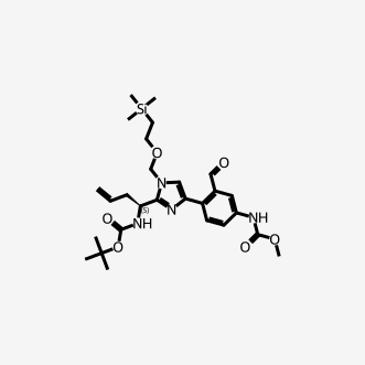 C=CC[C@H](NC(=O)OC(C)(C)C)c1nc(-c2ccc(NC(=O)OC)cc2C=O)cn1COCC[Si](C)(C)C